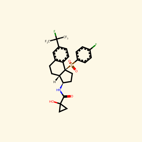 O=C(N[C@@H]1CC[C@@]2(S(=O)(=O)c3ccc(F)cc3)c3ccc(C(F)(C(F)(F)F)C(F)(F)F)cc3CC[C@@H]12)C1(O)CC1